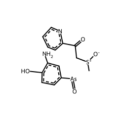 C[S+]([O-])CC(=O)c1ccccn1.Nc1cc([As]=O)ccc1O